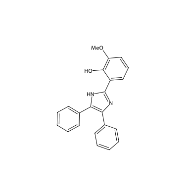 COc1cccc(-c2nc(-c3ccccc3)c(-c3ccccc3)[nH]2)c1O